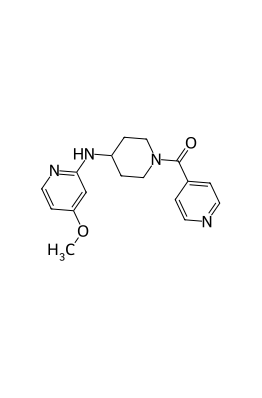 COc1ccnc(NC2CCN(C(=O)c3ccncc3)CC2)c1